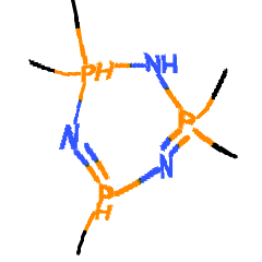 C[PH]1=N[PH](C)(C)NP(C)(C)=N1